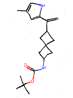 C=C(c1cc(C)c[nH]1)C1CC2(CC(NC(=O)OC(C)(C)C)C2)C1